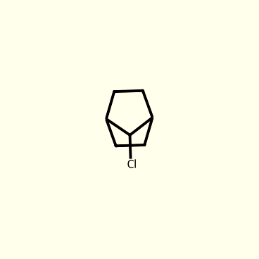 ClC1C2CCC1CC2